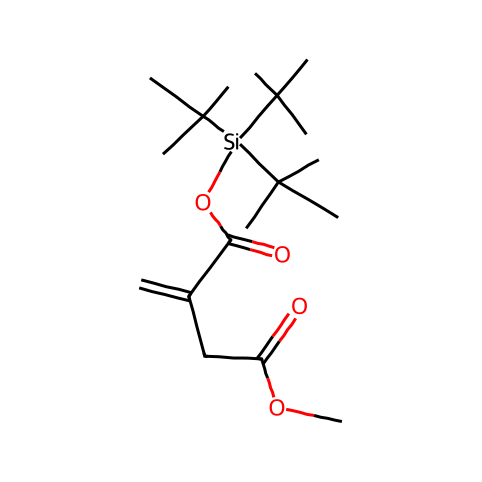 C=C(CC(=O)OC)C(=O)O[Si](C(C)(C)C)(C(C)(C)C)C(C)(C)C